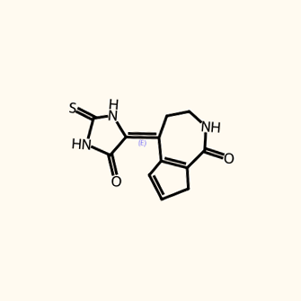 O=C1NCC/C(=C2\NC(=S)NC2=O)C2=C1CC=C2